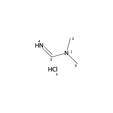 CN(C)C=N.Cl